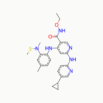 CCONC(=O)c1cnc(Nc2ccc(C3CC3)cn2)cc1Nc1ccc(C)cc1N(C)SC